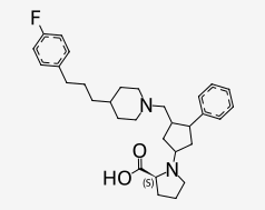 O=C(O)[C@@H]1CCCN1C1CC(CN2CCC(CCCc3ccc(F)cc3)CC2)C(c2ccccc2)C1